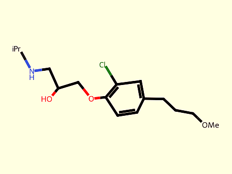 COCCCc1ccc(OCC(O)CNC(C)C)c(Cl)c1